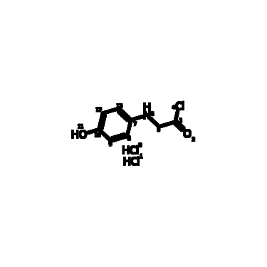 Cl.Cl.O=C(Cl)CNc1ccc(O)cc1